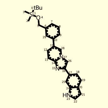 CC(C)(C)[Si](C)(C)OCc1cccc(-c2ccc3nc(-c4ccc5cc[nH]c5c4)cn3c2)c1